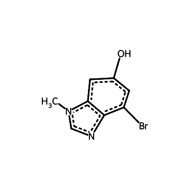 Cn1cnc2c(Br)cc(O)cc21